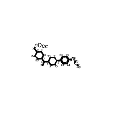 CCCCCCCCCCCC1CCC(C(C)C2CCC(c3ccc(N=C=S)cc3)CC2)CC1